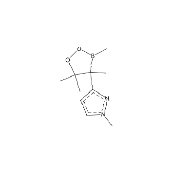 CB1OOC(C)(C)C1(C)c1ccn(C)n1